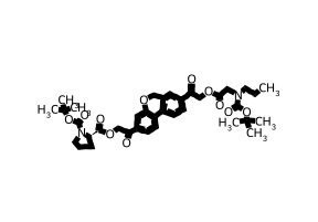 CCCN(CC(=O)OCC(=O)c1ccc2c(c1)COc1cc(C(=O)COC(=O)[C@@H]3CCCN3C(=O)OC(C)(C)C)ccc1-2)C(=O)OC(C)(C)C